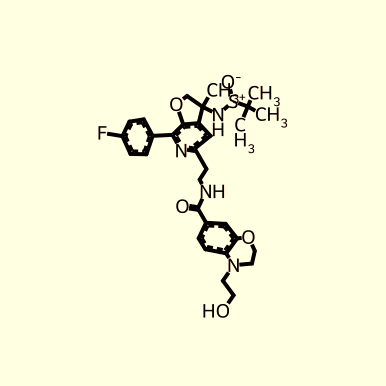 CC1(N[S+]([O-])C(C)(C)C)COc2c1cc(CCNC(=O)c1ccc3c(c1)OCCN3CCO)nc2-c1ccc(F)cc1